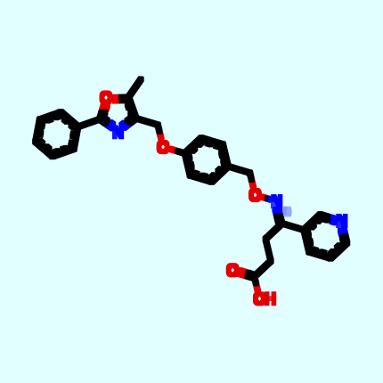 Cc1oc(-c2ccccc2)nc1COc1ccc(CO/N=C(\CCC(=O)O)c2cccnc2)cc1